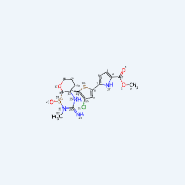 COC(=O)c1ccc(-c2cc(Cl)c([C@]34CCCOC3[S+]([O-])N(C)C(=N)N4)s2)[nH]1